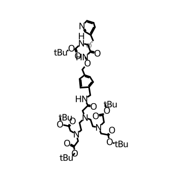 CC(C)(C)OC(=O)CN(CCN(CCN(CC(=O)OC(C)(C)C)CC(=O)OC(C)(C)C)CC(=O)NCc1ccc(CONC(=O)[C@@H](Cc2cccnc2)NC(=O)OC(C)(C)C)cc1)CC(=O)OC(C)(C)C